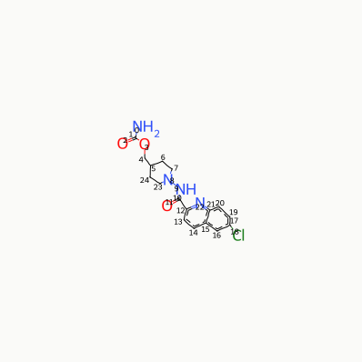 NC(=O)OCC1CCN(NC(=O)c2ccc3cc(Cl)ccc3n2)CC1